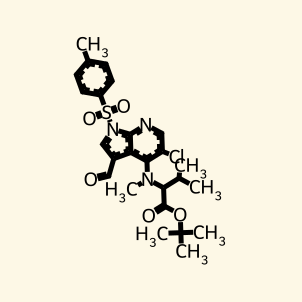 Cc1ccc(S(=O)(=O)n2cc(C=O)c3c(N(C)C(C(=O)OC(C)(C)C)C(C)C)c(Cl)cnc32)cc1